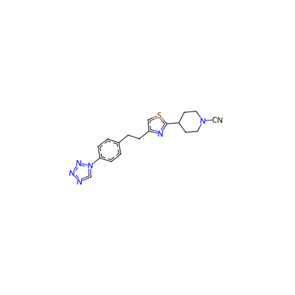 N#CN1CCC(c2nc(CCc3ccc(-n4cnnn4)cc3)cs2)CC1